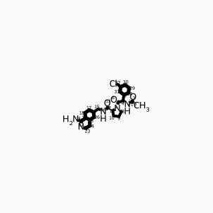 CC(=O)NC(C(=O)N1CCC[C@H]1C(=O)NCc1ccc2c(N)nccc2c1)c1cccc(Cl)c1